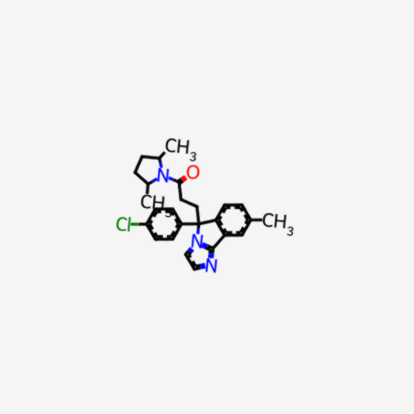 Cc1ccc2c(c1)-c1nccn1C2(CCC(=O)N1C(C)CCC1C)c1ccc(Cl)cc1